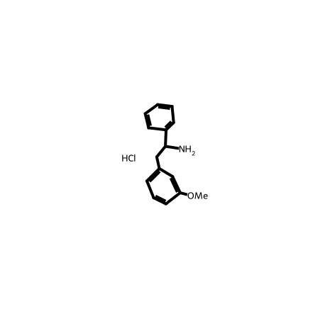 COc1cccc(CC(N)c2ccccc2)c1.Cl